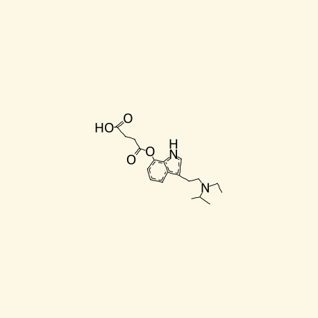 CCN(CCc1c[nH]c2c(OC(=O)CCC(=O)O)cccc12)C(C)C